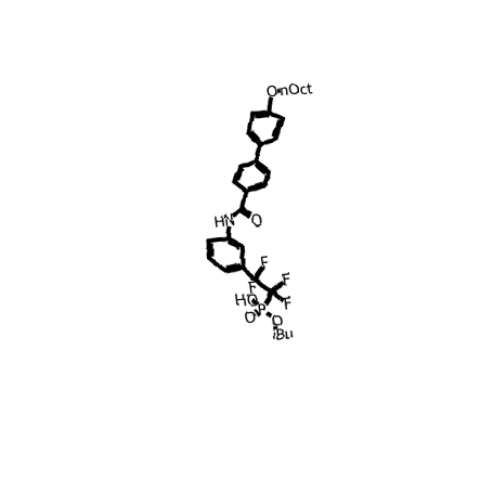 CCCCCCCCOc1ccc(-c2ccc(C(=O)Nc3cccc(C(F)(F)C(F)(F)P(=O)(O)OC(C)CC)c3)cc2)cc1